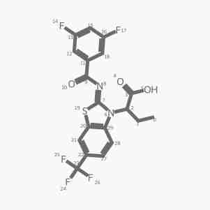 CCC(C(=O)O)n1c(=NC(=O)c2cc(F)cc(F)c2)sc2cc(C(F)(F)F)ccc21